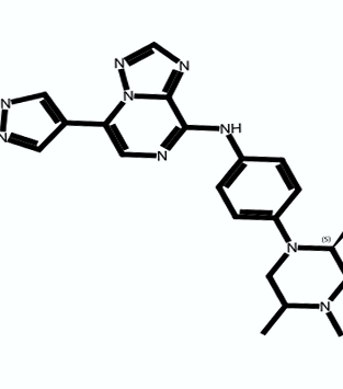 CC1CN(c2ccc(Nc3ncc(-c4cn[nH]c4)n4ncnc34)cc2)[C@@H](C)CN1C